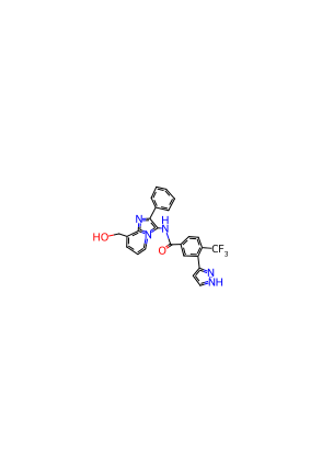 O=C(Nc1c(-c2ccccc2)nc2c(CO)cccn12)c1ccc(C(F)(F)F)c(-c2cc[nH]n2)c1